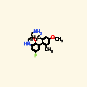 COc1cc(C)c(-c2cc(F)cc3c2O[C@@H](CN)CN3)c(C)c1